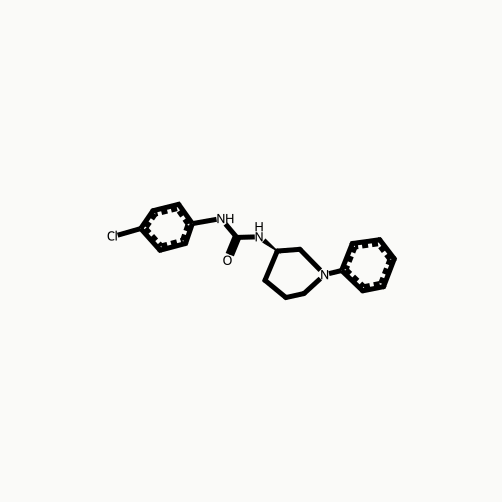 O=C(Nc1ccc(Cl)cc1)N[C@@H]1CCCN(c2ccccc2)C1